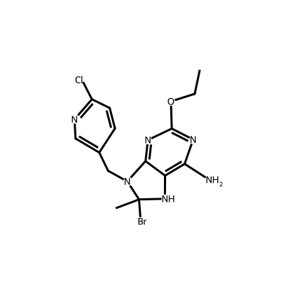 CCOc1nc(N)c2c(n1)N(Cc1ccc(Cl)nc1)C(C)(Br)N2